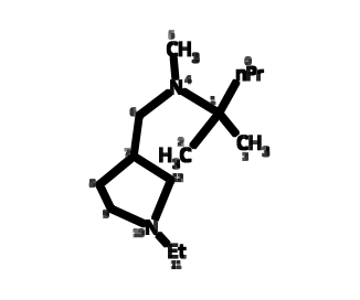 CCCC(C)(C)N(C)CC1CCN(CC)C1